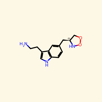 NCCc1c[nH]c2ccc(C[C@H]3COON3)cc12